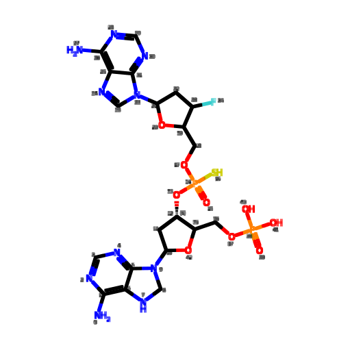 Nc1ncnc2c1NCN2C1C[C@H](OP(=O)(S)OCC2OC(n3cnc4c(N)ncnc43)CC2F)C(COP(=O)(O)O)O1